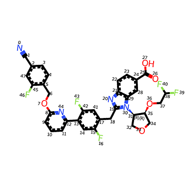 N#Cc1ccc(COc2cccc(-c3cc(F)c(Cc4nc5ccc(C(=O)O)cc5n4[C@@H]4COC[C@@H]4OCC(F)F)cc3F)n2)c(F)c1